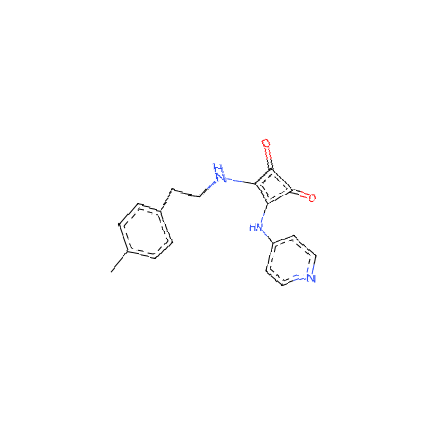 Cc1ccc(CCNc2c(Nc3ccncc3)c(=O)c2=O)cc1